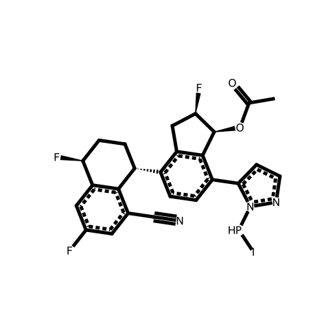 CC(=O)O[C@H]1c2c(-c3ccnn3PI)ccc([C@H]3CC[C@H](F)c4cc(F)cc(C#N)c43)c2C[C@H]1F